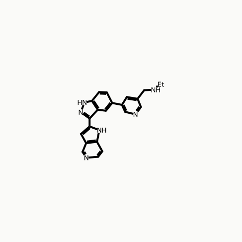 CCNCc1cncc(-c2ccc3[nH]nc(-c4cc5cnccc5[nH]4)c3c2)c1